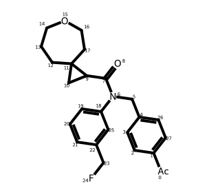 CC(=O)c1ccc(CN(C(=O)C2CC23CCCOCC3)c2cccc(CF)c2)cc1